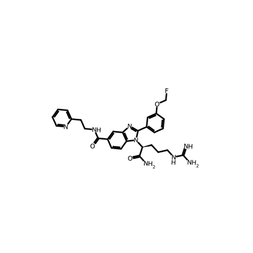 N=C(N)NCCC[C@@H](C(N)=O)n1c(-c2cccc(OCF)c2)nc2cc(C(=O)NCCc3ccccn3)ccc21